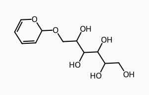 OCC(O)C(O)C(O)C(O)COC1C=CC=CO1